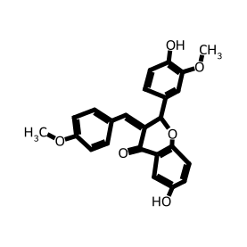 COc1ccc(C=C2C(=O)c3cc(O)ccc3OC2c2ccc(O)c(OC)c2)cc1